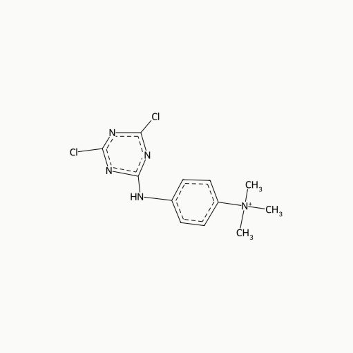 C[N+](C)(C)c1ccc(Nc2nc(Cl)nc(Cl)n2)cc1